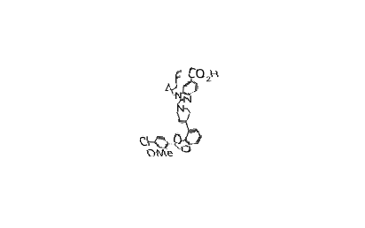 COc1cc(Cl)ccc1[C@H]1COc2cccc(C3CCN(Cc4nc5ccc(C(=O)O)cc5n4CC4(CF)CC4)CC3)c2O1